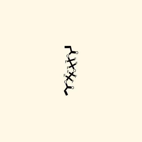 C=CC(=O)OC(F)(F)C(F)(F)OC(F)(F)C(F)(F)OC(=O)C=C